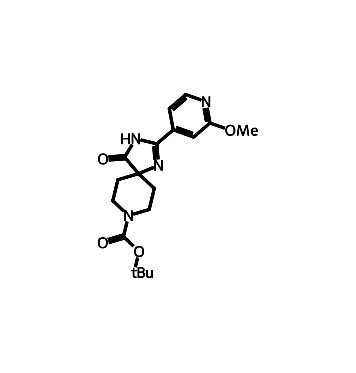 COc1cc(C2=NC3(CCN(C(=O)OC(C)(C)C)CC3)C(=O)N2)ccn1